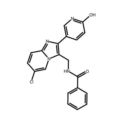 O=C(NCc1c(-c2ccc(O)nc2)nc2ccc(Cl)cn12)c1ccccc1